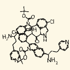 CC(C)(C)OC(=O)n1c(-c2ccc(Cl)c3c2C(C(=O)C2NCc4c(Cl)ccc(-c5cc6cc(C(N)CCc7ccncc7)ccc6n5C(=O)OC(C)(C)C)c42)NC3)cc2cc(C(N)CCc3ccncc3)ccc21